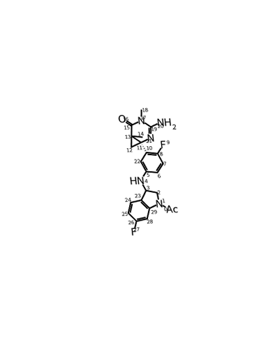 CC(=O)N1CC(Nc2ccc(F)c([C@]34CC3(C)C(=O)N(C)C(N)=N4)c2)c2ccc(F)cc21